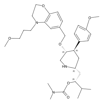 COCCCN1CCOc2ccc(CO[C@H]3CN[C@@H](C[C@@H](OC(=O)N(C)C)C(C)C)C[C@@H]3c3ccc(OC)cc3)cc21